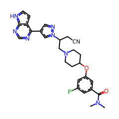 CN(C)C(=O)c1cc(F)cc(OC2CCN(CC(CC#N)n3cc(-c4ncnc5[nH]ccc45)cn3)CC2)c1